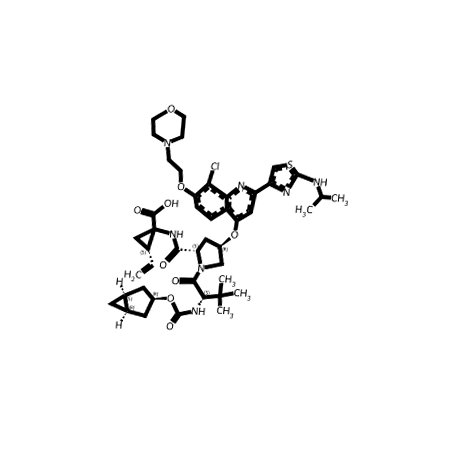 C=C[C@@H]1CC1(NC(=O)[C@@H]1C[C@@H](Oc2cc(-c3csc(NC(C)C)n3)nc3c(Cl)c(OCCN4CCOCC4)ccc23)CN1C(=O)[C@@H](NC(=O)O[C@@H]1C[C@@H]2C[C@@H]2C1)C(C)(C)C)C(=O)O